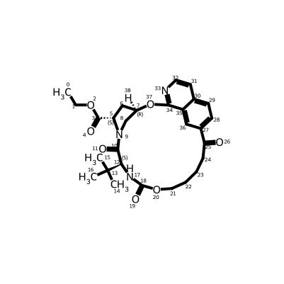 CCOC(=O)[C@@H]1C[C@@H]2CN1C(=O)[C@H](C(C)(C)C)NC(=O)OCCCCC(=O)c1ccc3ccnc(c3c1)O2